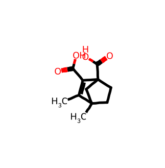 CC1=C(C(=O)O)C2(C(=O)O)CCC1(C)C2